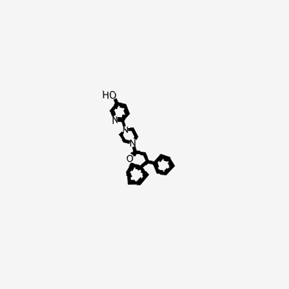 O=C(CC(c1ccccc1)c1ccccc1)N1CCN(c2ccc(O)cn2)CC1